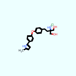 Cc1ccc(-c2ccc(Oc3ccc(CCC(CO)(CO)NCl)cc3)cc2)[nH]1